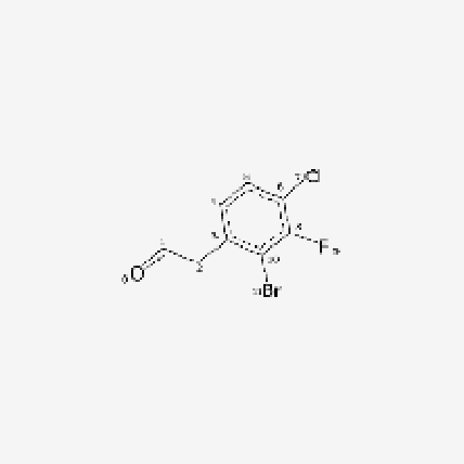 O=CCc1ccc(Cl)c(F)c1Br